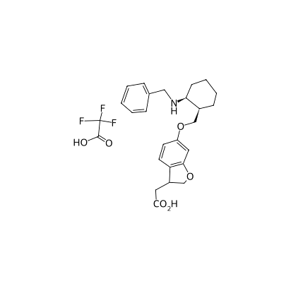 O=C(O)C(F)(F)F.O=C(O)CC1COc2cc(OC[C@@H]3CCCC[C@@H]3NCc3ccccc3)ccc21